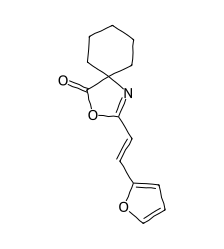 O=C1OC(/C=C/c2ccco2)=NC12CCCCC2